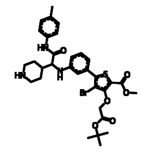 COC(=O)c1sc(-c2cccc(NC(C(=O)Nc3ccc(C)cc3)C3CCNCC3)c2)c(Br)c1OCC(=O)OC(C)(C)C